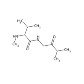 CNC(C(=O)NCC(=O)C(C)C)C(C)C